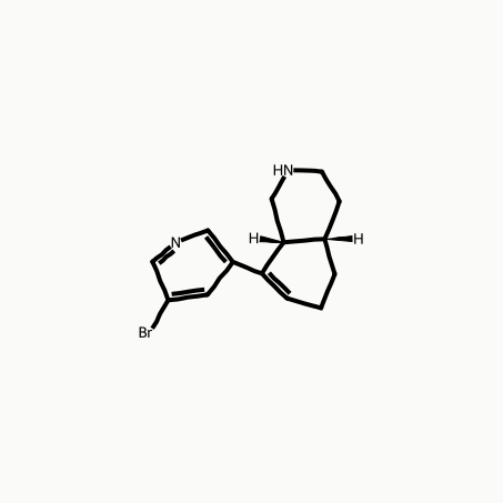 Brc1cncc(C2=CCC[C@H]3CCNC[C@@H]23)c1